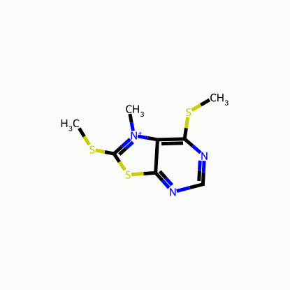 CSc1ncnc2sc(SC)[n+](C)c12